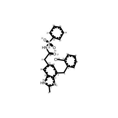 Cc1nc2c(Cc3ccccc3Cl)cc(CC(=O)NS(=O)(=O)c3ccccc3)cc2[nH]1